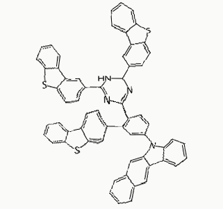 c1ccc2cc3c(cc2c1)c1ccccc1n3-c1ccc(C2=NC(c3ccc4sc5ccccc5c4c3)NC(c3ccc4sc5ccccc5c4c3)=N2)c(-c2ccc3c(c2)sc2ccccc23)c1